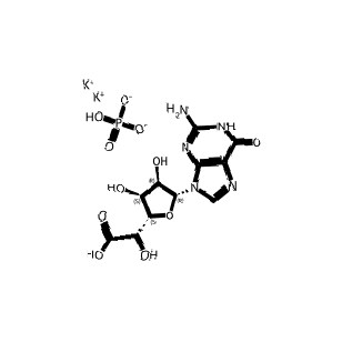 Nc1nc2c(ncn2[C@@H]2O[C@H](C(O)C(=O)O)[C@@H](O)[C@H]2O)c(=O)[nH]1.O=P([O-])([O-])O.[K+].[K+]